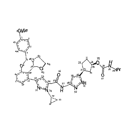 COc1ccc(COc2cccc(-c3cc(C(=O)Nc4cc([C@H]5CC[C@@H](OC(=O)NC(C)C)C5)[nH]n4)n(C4CC4)n3)c2C2OCCO2)cc1